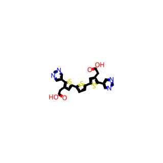 O=C(O)Cc1cc(-c2ccc(-c3cc(CC(=O)O)c(-c4cncnc4)s3)s2)sc1-c1cncnc1